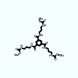 CC(C)(C)OC(=O)NCCCNC(=O)c1cc(C(=O)NCCCNC(=O)OC(C)(C)C)cc(C(=O)NCCCNC(=O)OC(C)(C)C)c1